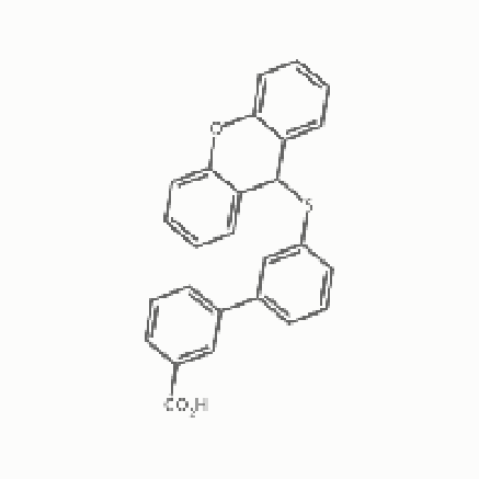 O=C(O)c1cccc(-c2cccc(SC3c4ccccc4Oc4ccccc43)c2)c1